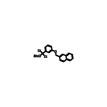 CCC(CC)(OC)c1cccc(OCc2ccc3ccccc3c2)c1